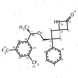 C[C@@H](OC[C@]1(c2ccccc2)C[C@]2(CC(=O)N2)C1)c1cc(C(F)(F)F)cc(C(F)(F)F)c1